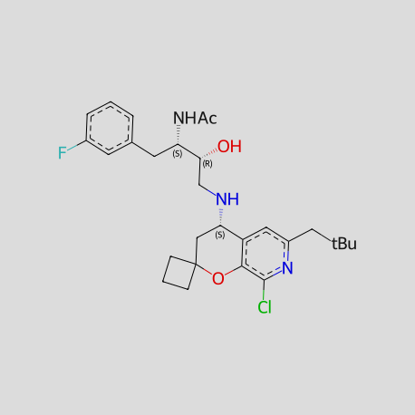 CC(=O)N[C@@H](Cc1cccc(F)c1)[C@H](O)CN[C@H]1CC2(CCC2)Oc2c1cc(CC(C)(C)C)nc2Cl